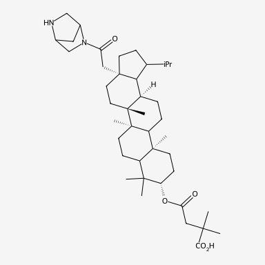 CC(C)C1CC[C@]2(CC(=O)N3CC4CC3CN4)CC[C@]3(C)[C@H](CCC4[C@@]5(C)CC[C@H](OC(=O)CC(C)(C)C(=O)O)C(C)(C)C5CC[C@]43C)C12